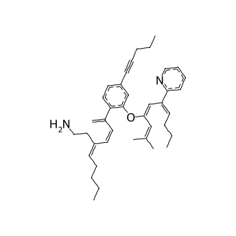 C=C(/C=C\C(=C/CCCC)CCN)c1ccc(C#CCCC)cc1O/C(C=C(C)C)=C/C(=C\CCC)c1ccccn1